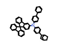 c1ccc(-c2ccc(N(c3ccc(C4CC5CCC4C5)cc3)c3ccc4c(c3)-c3ccccc3C43c4ccccc4-c4ccccc43)cc2)cc1